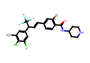 Cc1cc(C(/C=C/c2ccc(C(=O)NC3CCNCC3)c(Br)c2)C(F)(F)F)cc(Cl)c1Cl